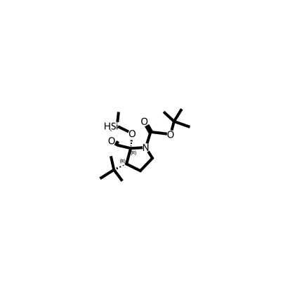 C[SiH](C)O[C@@]1(C=O)[C@@H](C(C)(C)C)CCN1C(=O)OC(C)(C)C